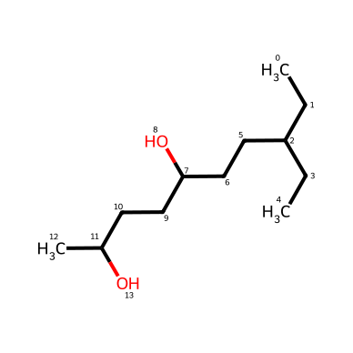 CCC(CC)CCC(O)CCC(C)O